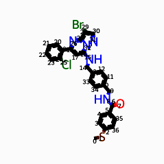 CSc1ccc(C(=O)NCc2ccc(CNc3cc(-c4ccccc4Cl)nc4c(Br)cnn34)cc2)cc1